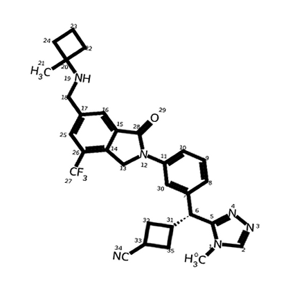 Cn1cnnc1[C@@H](c1cccc(N2Cc3c(cc(CNC4(C)CCC4)cc3C(F)(F)F)C2=O)c1)C1CC(C#N)C1